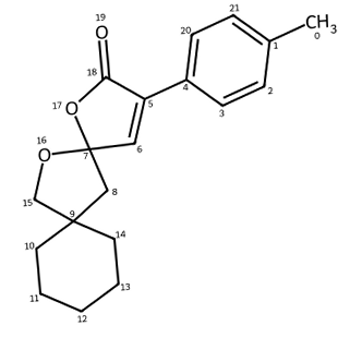 Cc1ccc(C2=CC3(CC4(CCCCC4)CO3)OC2=O)cc1